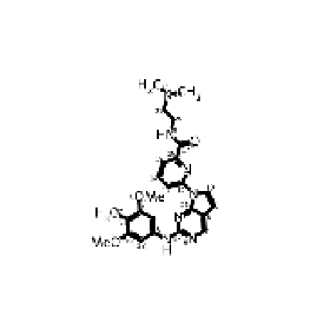 COc1cc(Nc2ncc3ccn(-c4cccc(C(=O)NCCN(C)C)n4)c3n2)cc(OC)c1C